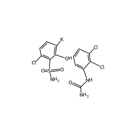 NC(=O)Nc1cccc(Cl)c1Cl.NS(=O)(=O)c1c(Cl)cc[c]([K])c1O